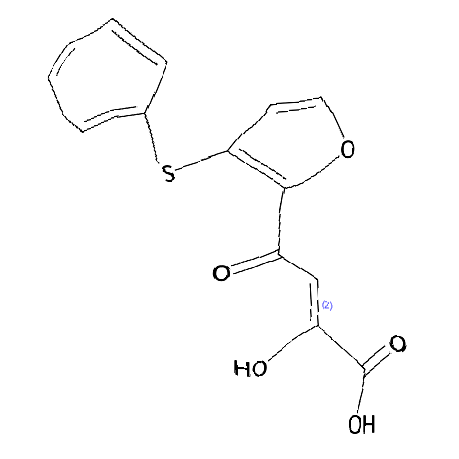 O=C(O)/C(O)=C/C(=O)c1occc1Sc1ccccc1